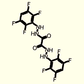 O=C(NNc1c(F)c(F)cc(F)c1F)C(=O)NNc1c(F)c(F)cc(F)c1F